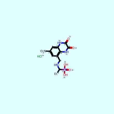 CCC(NCc1cc([N+](=O)[O-])cc2[nH]c(=O)c(=O)[nH]c12)P(=O)(O)O.Cl